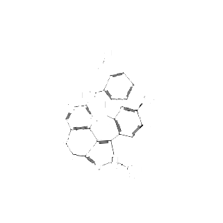 COc1ccccc1Nc1ncc2c(n1)-c1c(nn(C)c1-c1ccc(C)cc1C)CC2